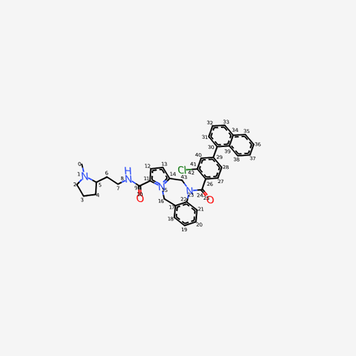 CN1CCCC1CCNC(=O)c1ccc2n1Cc1ccccc1N(C(=O)c1ccc(-c3cccc4ccccc34)cc1Cl)C2